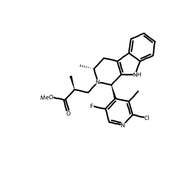 COC(=O)[C@@H](C)CN1[C@H](c2c(F)cnc(Cl)c2C)c2[nH]c3ccccc3c2C[C@H]1C